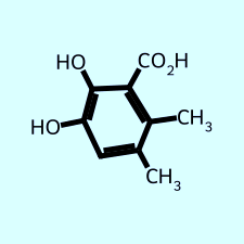 Cc1cc(O)c(O)c(C(=O)O)c1C